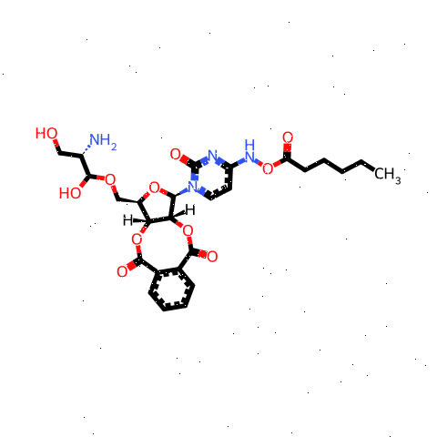 CCCCCC(=O)ONc1ccn([C@@H]2O[C@H](COC(O)[C@@H](N)CO)[C@H]3OC(=O)c4ccccc4C(=O)O[C@H]32)c(=O)n1